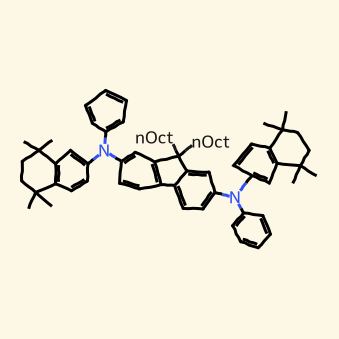 CCCCCCCCC1(CCCCCCCC)c2cc(N(c3ccccc3)c3ccc4c(c3)C(C)(C)CCC4(C)C)ccc2-c2ccc(N(c3ccccc3)c3ccc4c(c3)C(C)(C)CCC4(C)C)cc21